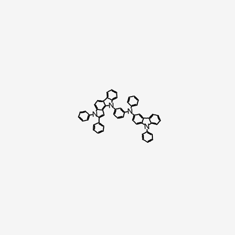 c1ccc(-c2cc3c(ccc4c5ccccc5n(-c5cccc(N(c6ccccc6)c6ccc7c(c6)c6ccccc6n7-c6ccccc6)c5)c43)n2-c2ccccc2)cc1